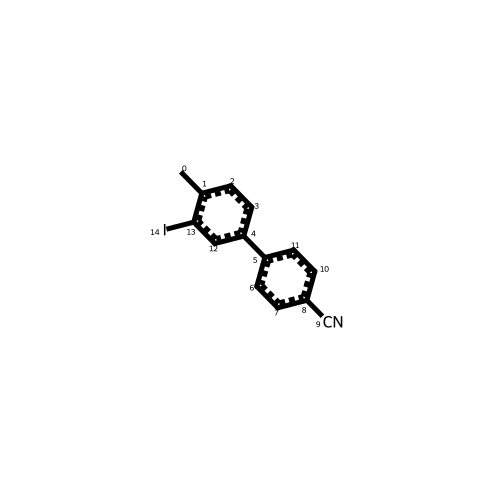 Cc1ccc(-c2ccc(C#N)cc2)cc1I